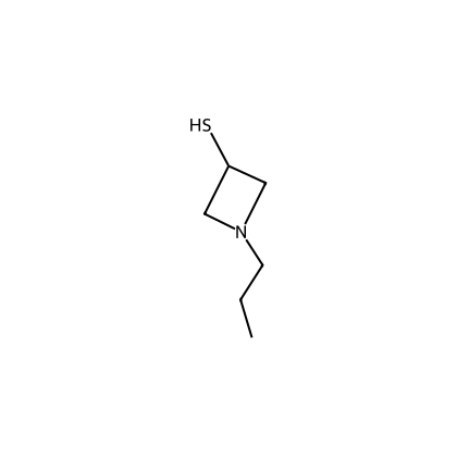 CCCN1CC(S)C1